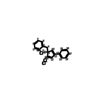 [Cl-].[Cl-].[Cr+2][C]1(Cc2ccccn2)C=CC(c2ccccc2)=C1